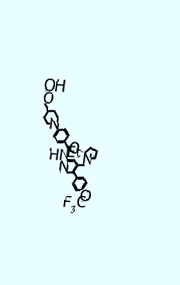 CC[C@@H]1CCCN1Cc1cc(NC(=O)c2ccc(N3CCC(COCO)CC3)cc2)ncc1-c1ccc(OC(F)(F)F)cc1